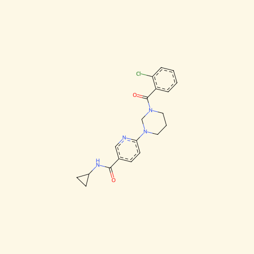 O=C(NC1CC1)c1ccc(N2CCCN(C(=O)c3ccccc3Cl)C2)nc1